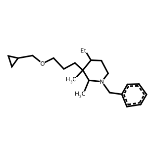 CCC1CCN(Cc2ccccc2)C(C)C1(C)CCCOCC1CC1